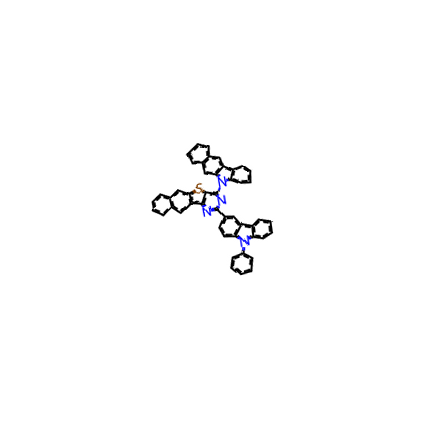 c1ccc(-n2c3ccccc3c3cc(-c4nc(-n5c6ccccc6c6cc7ccccc7cc65)c5sc6cc7ccccc7cc6c5n4)ccc32)cc1